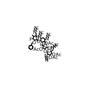 CCC1OC(OC2C(OC(C)=O)C(N=[N+]=[N-])CC(N=[N+]=[N-])C2OC2OC(CN=[N+]=[N-])C(C)C(F)C2OCc2ccccc2)C(OC(C)=O)C1OC1OC(CN=[N+]=[N-])C(OC(C)=O)C(OC(C)=O)C1N=[N+]=[N-]